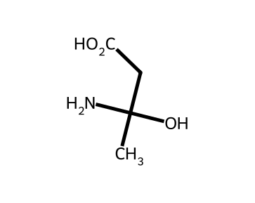 CC(N)(O)CC(=O)O